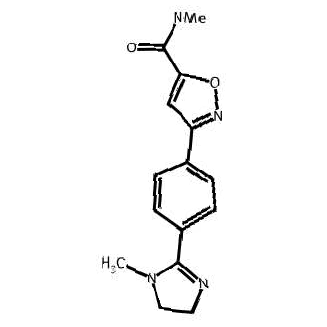 CNC(=O)c1cc(-c2ccc(C3=NCCN3C)cc2)no1